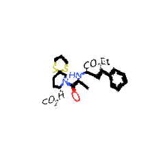 CCOC(=O)[C@H](CCc1ccccc1)NC(C)C(=O)N1CC2(CC[C@H]1C(=O)O)SCCCS2